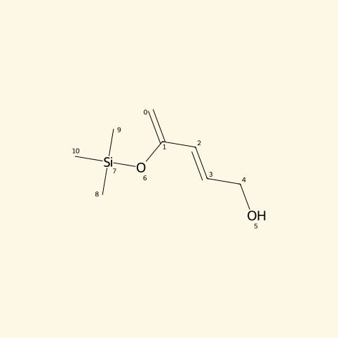 C=C(/C=C/CO)O[Si](C)(C)C